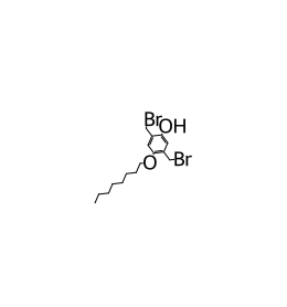 CCCCCCCCOc1cc(CBr)c(O)cc1CBr